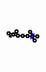 CC1(C)c2ccccc2-c2cc3c(cc21)-c1ccc(-c2ccc(-c4ccc(-c5nc(C6=CC=CCC6)c(-c6ccccc6)nc5-c5ccccc5)cc4)cc2)cc1C31CCCCC1